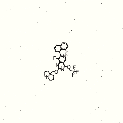 Fc1c(-c2cccc3cccc(Cl)c23)ncc2c(OCC(F)(F)F)nc(OCC34CCCN3CCC4)nc12